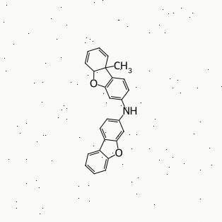 CC12C=CC=CC1Oc1cc(Nc3ccc4c(c3)oc3ccccc34)ccc12